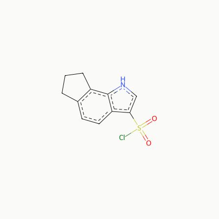 O=S(=O)(Cl)c1c[nH]c2c3c(ccc12)CCC3